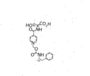 C[C@@H](Cc1ccccc1)NC(=O)OC[n+]1ccc(C(=O)N[C@H](C(=O)O)[C@@H](C)O)cc1